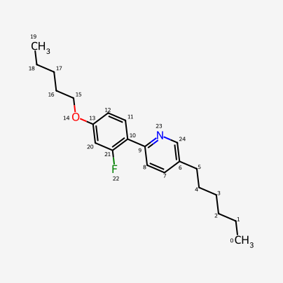 CCCCCCc1ccc(-c2ccc(OCCCCC)cc2F)nc1